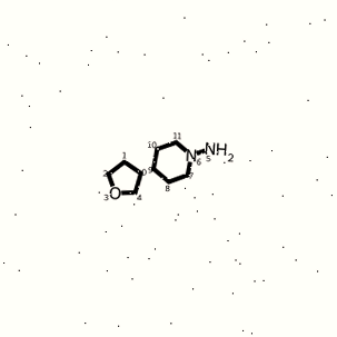 C1CCOC1.NN1CCCCC1